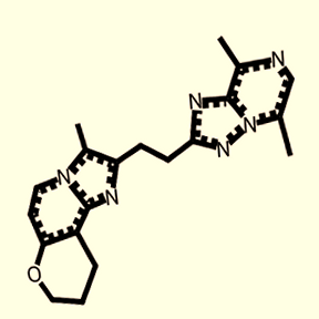 Cc1ncc(C)n2nc(CCc3nc4c5c(ccn4c3C)OCCC5)nc12